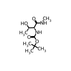 CNC(=O)[C@@H](NC(=O)OC(C)(C)C)[C@@H](C)O